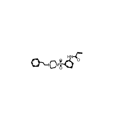 C=CC(=O)Nc1cccc(S(=O)(=O)N2CCN(CCc3ccccc3)CC2)c1